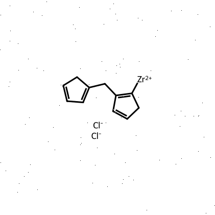 [Cl-].[Cl-].[Zr+2][C]1=C(CC2=CC=CC2)C=CC1